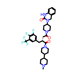 CN1CCC(C2CCN(C(=O)[C@@H](CC(=O)N3CCC(N4Cc5ccccc5NC4=O)CC3)Cc3cc(F)c(F)c(C(F)(F)F)c3)CC2)CC1